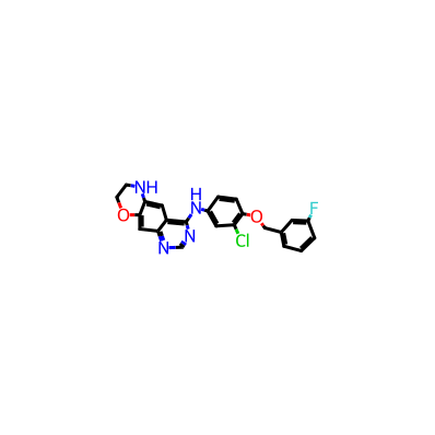 Fc1cccc(COc2ccc(Nc3ncnc4cc5c(cc34)NCCO5)cc2Cl)c1